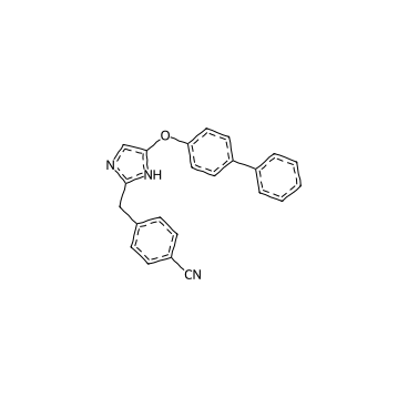 N#Cc1ccc(Cc2ncc(Oc3ccc(-c4ccccc4)cc3)[nH]2)cc1